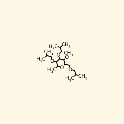 COC1C(COCC(C)C)OC(C)C(OCC(C)C)C1OCC(C)C